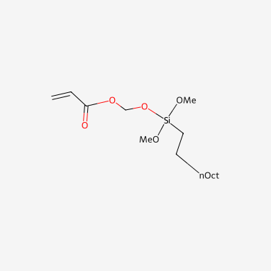 C=CC(=O)OCO[Si](CCCCCCCCCC)(OC)OC